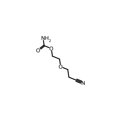 N#CCCOCCOC(N)=O